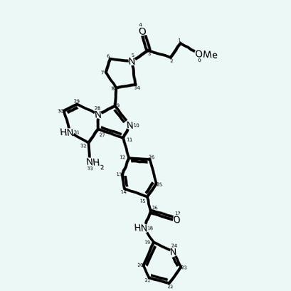 COCCC(=O)N1CCC(c2nc(-c3ccc(C(=O)Nc4ccccn4)cc3)c3n2C=CNC3N)C1